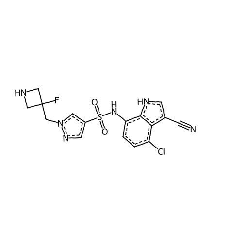 N#Cc1c[nH]c2c(NS(=O)(=O)c3cnn(CC4(F)CNC4)c3)ccc(Cl)c12